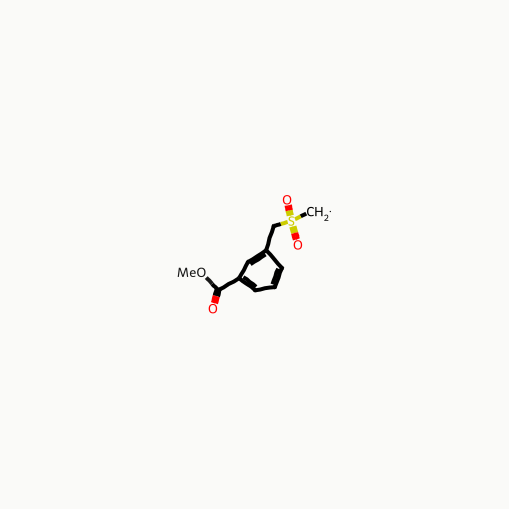 [CH2]S(=O)(=O)Cc1cccc(C(=O)OC)c1